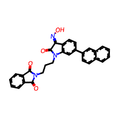 O=C1c2ccccc2C(=O)N1CCCN1C(=O)/C(=N/O)c2ccc(-c3ccc4ccccc4c3)cc21